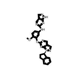 COc1ccc(Nc2ncc3cn[nH]c3n2)cc1Oc1ncc2cnn([C@@H]3CCc4ccccc43)c2n1